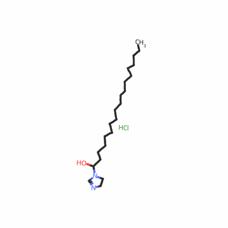 CCCCCCCCCCCCCCCCCCC(O)N1C=NCC1.Cl